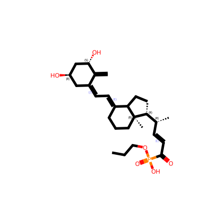 C=C1/C(=C\C=C2/CCC[C@@]3(C)C2CC[C@@H]3[C@H](C)/C=C/C(=O)P(=O)(O)OCCC)C[C@@H](O)C[C@@H]1O